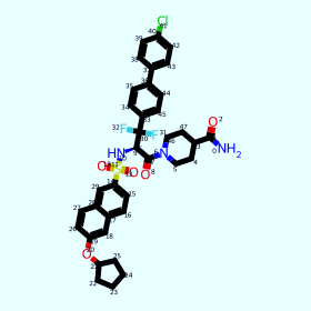 NC(=O)C1CCN(C(=O)[C@@H](NS(=O)(=O)c2ccc3cc(OC4CCCC4)ccc3c2)C(F)(F)c2ccc(-c3ccc(Cl)cc3)cc2)CC1